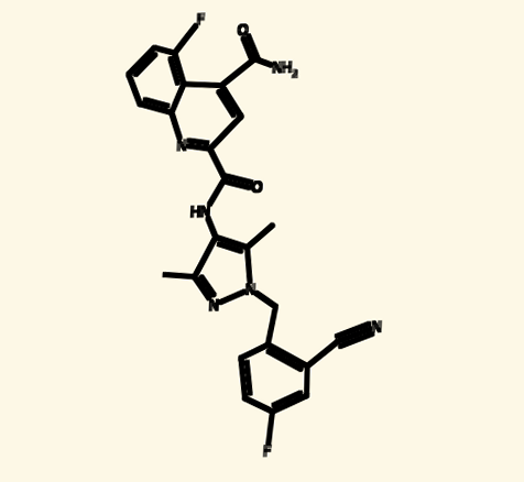 Cc1nn(Cc2ccc(F)cc2C#N)c(C)c1NC(=O)c1cc(C(N)=O)c2c(F)cccc2n1